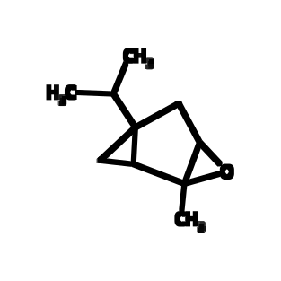 CC(C)C12CC3OC3(C)C1C2